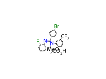 COc1ccc(C(F)(F)F)cc1N1C(c2ccc(Br)cc2)=Nc2c(F)cccc2C1C(C)C(=O)O